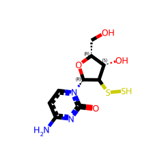 Nc1ccn([C@@H]2O[C@H](CO)[C@H](O)C2SS)c(=O)n1